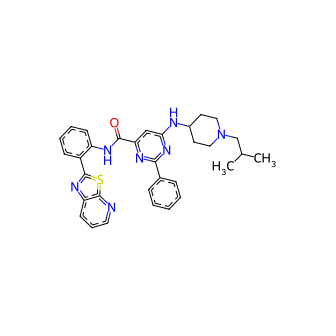 CC(C)CN1CCC(Nc2cc(C(=O)Nc3ccccc3-c3nc4cccnc4s3)nc(-c3ccccc3)n2)CC1